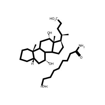 CCCCCCCCCCCCCCCCCC(N)=O.C[C@H](CCC(=O)O)[C@H]1CCC2C3C(C[C@H](O)[C@@]21C)[C@@]1(C)CCCC[C@H]1C[C@H]3O